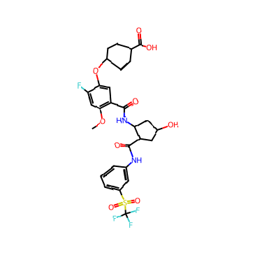 COc1cc(F)c(OC2CCC(C(=O)O)CC2)cc1C(=O)NC1CC(O)CC1C(=O)Nc1cccc(S(=O)(=O)C(F)(F)F)c1